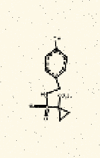 CCOC(=O)C1(S(=N)(=O)NCc2ccc(OC)cc2)CC1